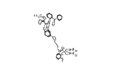 COC(=O)[C@H](Cc1ccc(OCCCN(C(=O)C(C)(C)C)c2cccc(F)c2)cc1)Nc1ccccc1C(=O)c1ccccc1